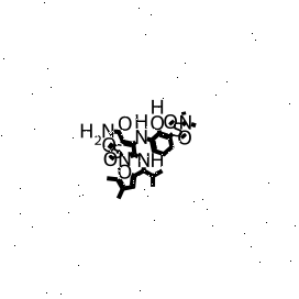 Cc1cc(C(NC2=NS(=O)(=O)C(C(N)=O)=C2NC2=CCCC(S(=O)(=O)N(C)C)=C2O)C(C)C)oc1C